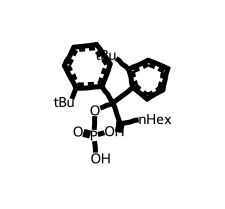 C=C(CCCCCC)C(OP(=O)(O)O)(c1ccccc1C(C)(C)C)c1ccccc1C(C)(C)C